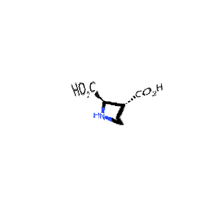 O=C(O)[C@@H]1CN[C@H]1C(=O)O